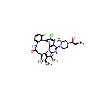 C=CC(=O)N1CCN(c2nc(=O)n3c4nc(c(Cl)cc24)-c2c(Cl)cccc2NC(=O)CC(=C/C)/C3=C(\C=C)C(C)C)[C@@H](C)C1